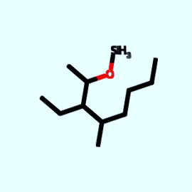 CCCCC(C)C(CC)C(C)O[SiH3]